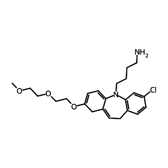 COCCOCCOC1=CC=C2C(=CCc3ccc(Cl)cc3N2CCCCN)C1